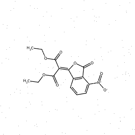 CCOC(=O)C(C(=O)OCC)=C1OC(=O)c2c1cccc2[N+](=O)[O-]